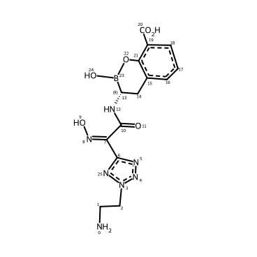 NCCn1nnc(C(=NO)C(=O)N[C@H]2Cc3cccc(C(=O)O)c3OB2O)n1